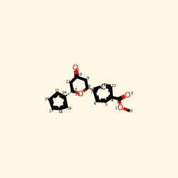 COC(=O)c1ccc([C@H]2CC(=O)C[C@@H](c3ccccc3)O2)cc1